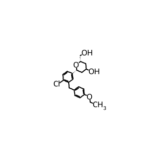 CCOc1ccc(Cc2cc([C@H]3CC(O)C[C@@H](CO)O3)ccc2Cl)cc1